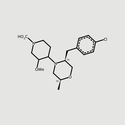 COC1CN(C(=O)O)CCC1N1C[C@H](C)OC[C@@H]1Cc1ccc(Cl)cc1